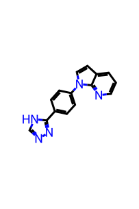 c1cnc2c(c1)ccn2-c1ccc(-c2nnc[nH]2)cc1